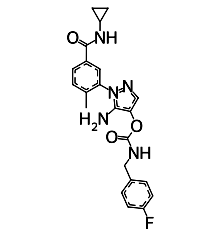 Cc1ccc(C(=O)NC2CC2)cc1-n1ncc(OC(=O)NCc2ccc(F)cc2)c1N